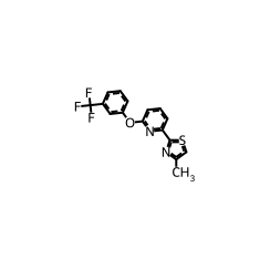 Cc1csc(-c2cccc(Oc3cccc(C(F)(F)F)c3)n2)n1